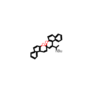 CCCCC(C)C1=CC2(C=Cc3c(ccc4ccccc34)O2)Oc2ccc3ccccc3c21